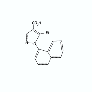 CCc1c(C(=O)O)cnn1-c1cccc2ccccc12